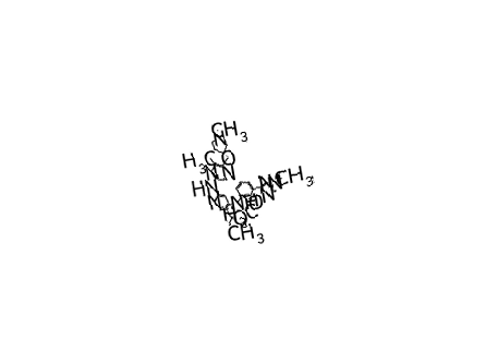 CCC(=O)c1cnc(Nc2cnc(O[C@@H]3CCN(C)C3)c(C)n2)cc1Nc1cccc(-c2ncn(C)n2)c1OC